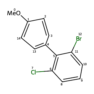 COc1ccc(-c2c(Cl)c[c]cc2Br)cc1